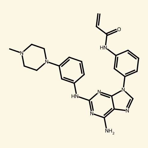 C=CC(=O)Nc1cccc(-n2cnc3c(N)nc(Nc4cccc(N5CCN(C)CC5)c4)nc32)c1